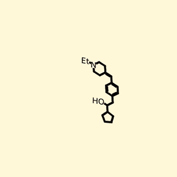 CCN1CCC(=Cc2ccc(CC(O)C3CCCC3)cc2)CC1